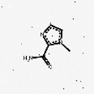 Cn1ccnc1C(N)=O